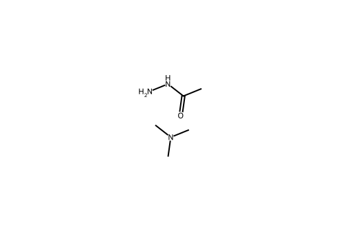 CC(=O)NN.CN(C)C